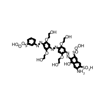 Nc1cc2c(O)c(N=Nc3cc(OCCO)c(N=Nc4cc(OCCO)c(N=Nc5cccc(SOOO)c5)cc4OCCO)cc3OCCO)c(SOOO)cc2cc1S(=O)(=O)O